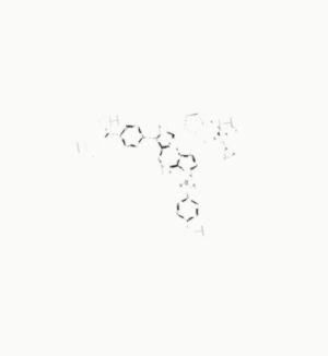 C=C(C)c1ccc(-c2nc([C@@H]3CC[C@H](NS(=O)(=O)C4CC4)C3)n3c2cnc2c3ccn2S(=O)(=O)c2ccc(C)cc2)cc1